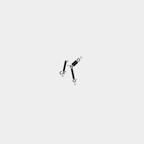 O=N[O-].[CH3][Ca+]